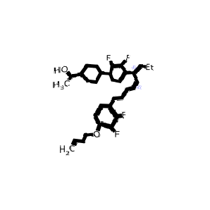 C=CCCOc1ccc(CCC/C=C\C(=C/CC)C2=CCC(C3CCC(C(C)O)CC3)C(F)=C2F)c(F)c1F